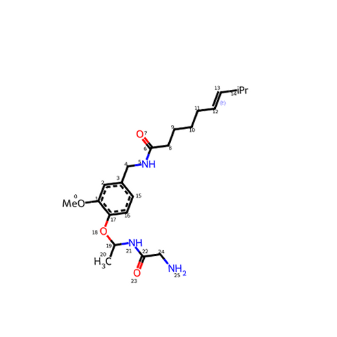 COc1cc(CNC(=O)CCCC/C=C/C(C)C)ccc1OC(C)NC(=O)CN